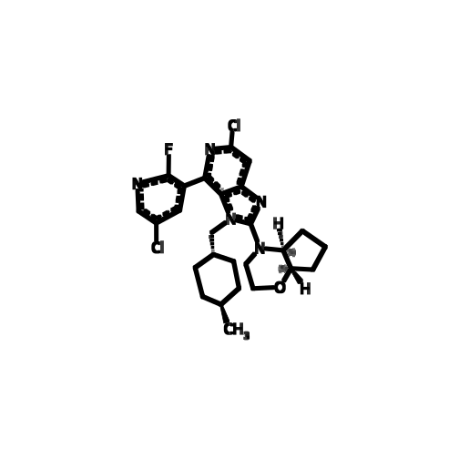 C[C@H]1CC[C@H](Cn2c(N3CCO[C@H]4CCC[C@@H]43)nc3cc(Cl)nc(-c4cc(Cl)cnc4F)c32)CC1